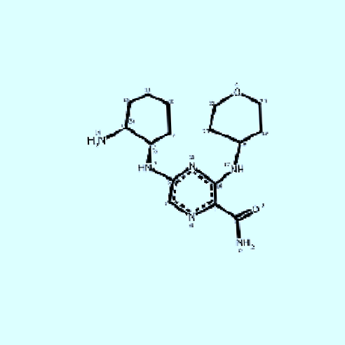 NC(=O)c1ncc(N[C@@H]2CCCC[C@@H]2N)nc1NC1CCOCC1